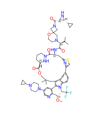 CO[C@@H](C)c1ncc(N2CCN(C3CC3)CC2)cc1-c1c2c3cc(ccc3n1CC(F)(F)F)-c1csc(n1)C[C@H](NC(=O)[C@H](C(C)C)N1CCOC3(CN(C(=O)[C@@H]4N[C@@H]4C4CC4)C3)C1)C(=O)N1CCC[C@H](N1)C(=O)OCC(C)(C)C2